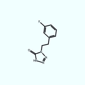 O=c1[nH]nnn1CCc1cccc(F)c1